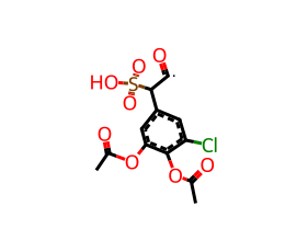 CC(=O)Oc1cc(C([C]=O)S(=O)(=O)O)cc(Cl)c1OC(C)=O